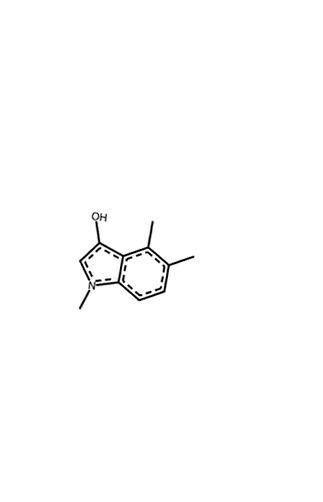 Cc1ccc2c(c(O)cn2C)c1C